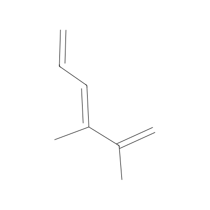 C=C/C=C(\C)C(=C)C